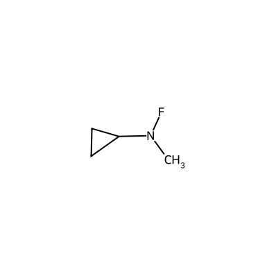 CN(F)C1CC1